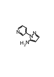 Nc1ccnn1-c1cccnc1